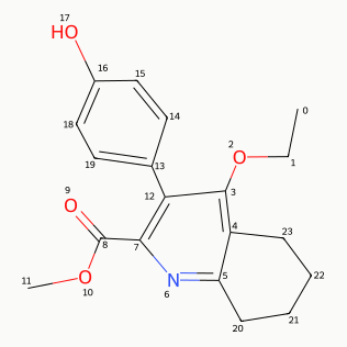 CCOc1c2c(nc(C(=O)OC)c1-c1ccc(O)cc1)CCCC2